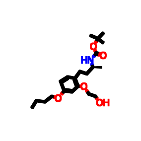 CCCCOc1ccc(CC[C@H](C)NC(=O)OC(C)(C)C)c(OCCO)c1